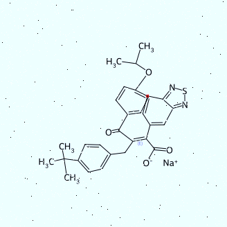 CC(C)Oc1ccc(C(=O)/C(Cc2ccc(C(C)(C)C)cc2)=C(/C(=O)[O-])c2ccc3nsnc3c2)cc1.[Na+]